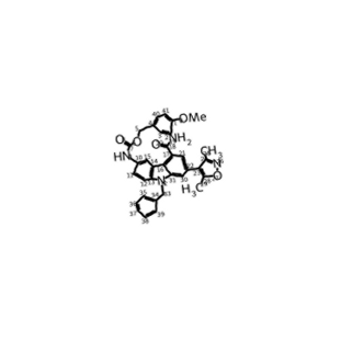 COc1ccc(COC(=O)Nc2ccc3c(c2)c2c(C(N)=O)cc(-c4c(C)noc4C)cc2n3Cc2ccccc2)cc1